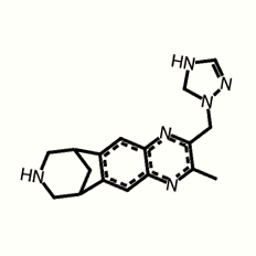 Cc1nc2cc3c(cc2nc1CN1CNC=N1)C1CNCC3C1